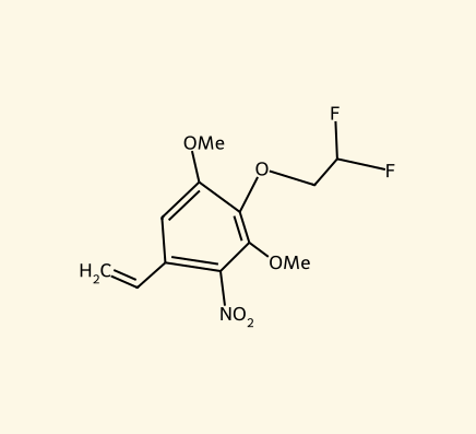 C=Cc1cc(OC)c(OCC(F)F)c(OC)c1[N+](=O)[O-]